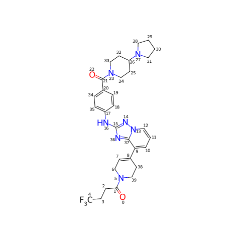 O=C(CCC(F)(F)F)N1CC=C(c2cccn3nc(Nc4ccc(C(=O)N5CCC(N6CCCC6)CC5)cc4)nc23)CC1